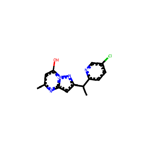 Cc1cc(O)n2nc(C(C)c3ccc(Cl)cn3)cc2n1